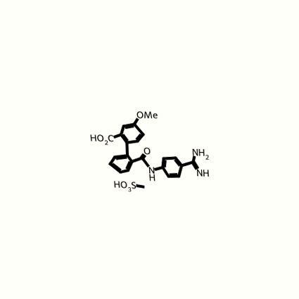 COc1ccc(-c2ccccc2C(=O)Nc2ccc(C(=N)N)cc2)c(C(=O)O)c1.CS(=O)(=O)O